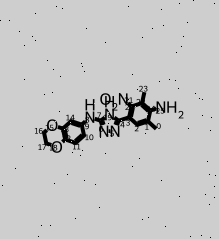 Cc1cc(-c2nnc(Nc3ccc4c(c3)OCCO4)[nH]2)c([N+](=O)[O-])c(C)c1N